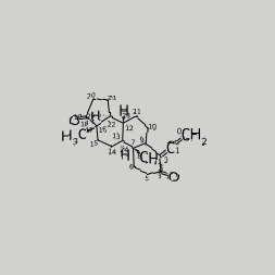 C=C=C1C(=O)CC[C@@]2(C)C1CC[C@@H]1[C@@H]2CC[C@]2(C)C(=O)CC[C@@H]12